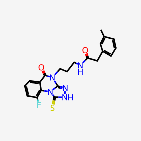 Cc1cccc(CC(=O)NCCCn2c(=O)c3cccc(F)c3n3c(=S)[nH]nc23)c1